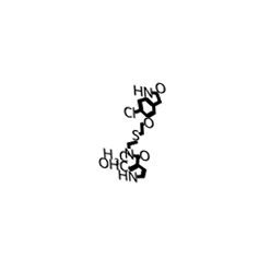 CN(CCSCCOc1cc2c(cc1Cl)NC(=O)C2)C(=O)c1cc[nH]c1C=O